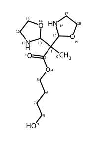 CC(C(=O)OCCCCO)(C1NCCO1)C1NCCO1